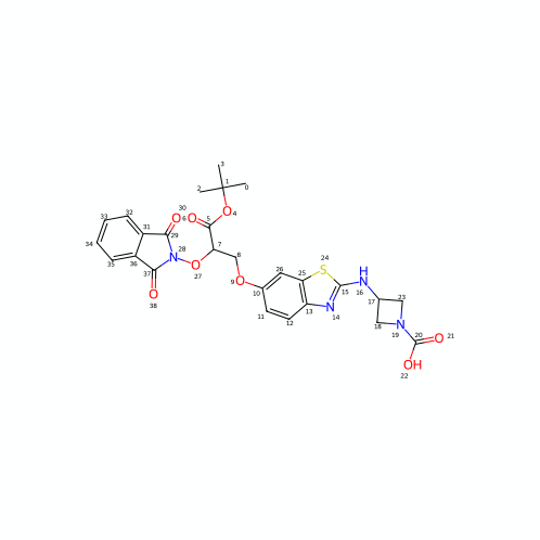 CC(C)(C)OC(=O)C(COc1ccc2nc(NC3CN(C(=O)O)C3)sc2c1)ON1C(=O)c2ccccc2C1=O